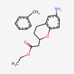 CCOC(=O)CC1CCc2cc(N)ccc2O1.Cc1ccccc1